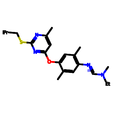 CCN(C)/C=N/c1cc(C)c(Oc2cc(C)nc(SCC(C)C)n2)cc1C